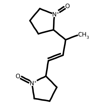 CC(C=CC1CCC[N+]1=O)C1CCC[N+]1=O